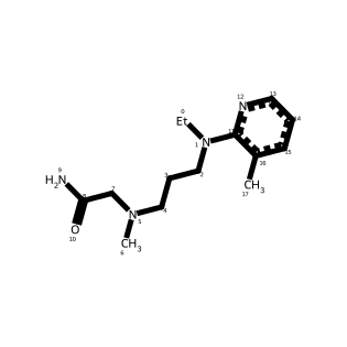 CCN(CCCN(C)CC(N)=O)c1ncccc1C